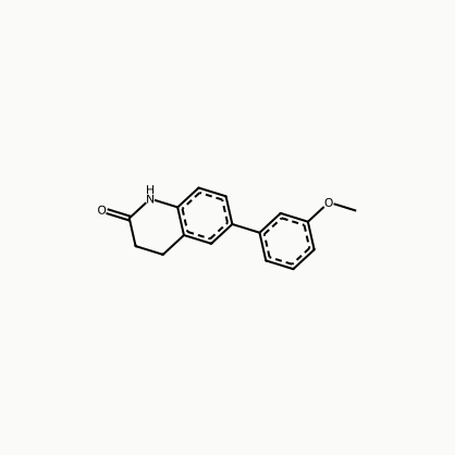 COc1cccc(-c2ccc3c(c2)CCC(=O)N3)c1